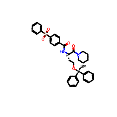 CC(C)(C)[Si](OCC[C@H](NC(=O)c1ccc(S(=O)(=O)c2ccccc2)cc1)C(=O)N1CCCCC1)(c1ccccc1)c1ccccc1